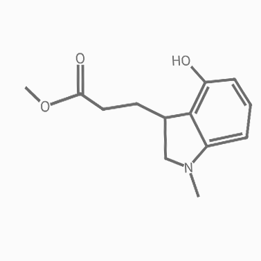 COC(=O)CCC1CN(C)c2cccc(O)c21